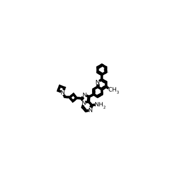 Cc1cc(-c2[c]cccc2)nc2cc(-c3nc(C4CC(CN5CCC5)C4)n4ccnc(N)c34)ccc12